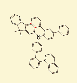 CC1(C)c2ccccc2-c2ccc(N(c3ccc(-c4ccccc4-c4cccc5ccccc45)cc3)c3ccc(-c4ccccc4)cc3-c3ccccc3)cc21